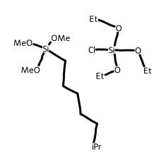 CCO[Si](Cl)(OCC)OCC.CO[Si](CCCCCC(C)C)(OC)OC